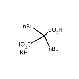 CCCCC(CCCC)(C(=O)O)C(=O)O.[KH]